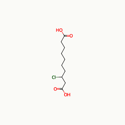 O=C(O)CCCCCCC(Cl)CC(=O)O